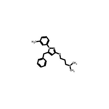 Cc1cccc(-n2nc(OCCCN(C)C)cc2Cc2ccccc2)c1